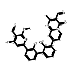 COc1nc(-c2cccc(-c3cccc(-c4ccn5c(=O)c(C=O)c(C)nc5c4)c3Cl)c2Cl)cc(F)c1C=O